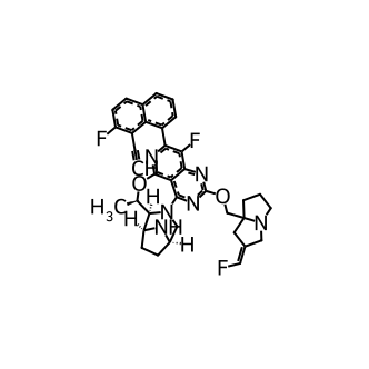 C#Cc1c(F)ccc2cccc(-c3nc4c5c(nc(OCC67CCCN6CC(=CF)C7)nc5c3F)N3C[C@H]5CC[C@H](N5)[C@H]3[C@@H](C)O4)c12